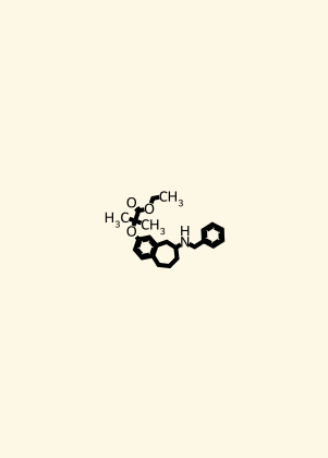 CCOC(=O)C(C)(C)Oc1ccc2c(c1)CC(NCc1ccccc1)CCC2